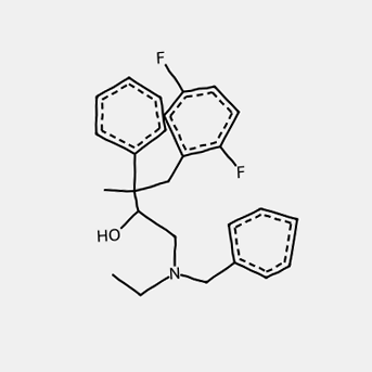 CCN(Cc1ccccc1)CC(O)C(C)(Cc1cc(F)ccc1F)c1ccccc1